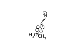 CN(C)C(=O)O[C@H]1CCN(CC#CCN2CCCC2)C1=O